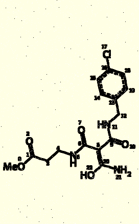 COC(=O)CCNC(=O)/C(C(=O)NCc1ccc(Cl)cc1)=C(/N)O